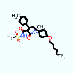 Cc1ccc(C2=C(C(=O)NS(C)(=O)=O)C(=O)N[C@](C)(c3ccc(OCCCCCC(F)(F)F)cc3)C2)cc1